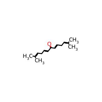 CC(C)=CCC=CC(=O)C=CCC=C(C)C